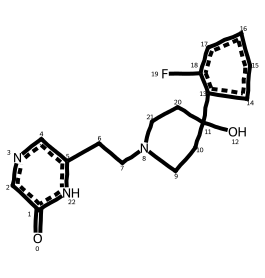 O=c1cncc(CCN2CCC(O)(c3ccccc3F)CC2)[nH]1